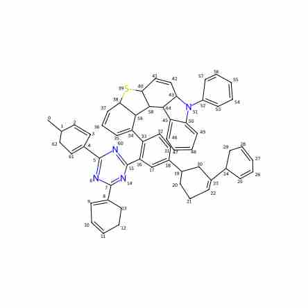 CC1C=CC(c2nc(C3=CC=CCC3)nc(-c3cc(C4CCC=C(C5C=CC=CC5)C4)ccc3C3=CC=CC4SC5C=CC6C(c7ccccc7N6c6ccccc6)C5C34)n2)=CC1